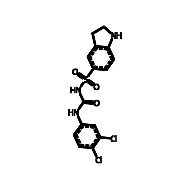 O=C(Nc1ccc(Cl)c(Cl)c1)NS(=O)(=O)c1ccc2c(c1)CCN2